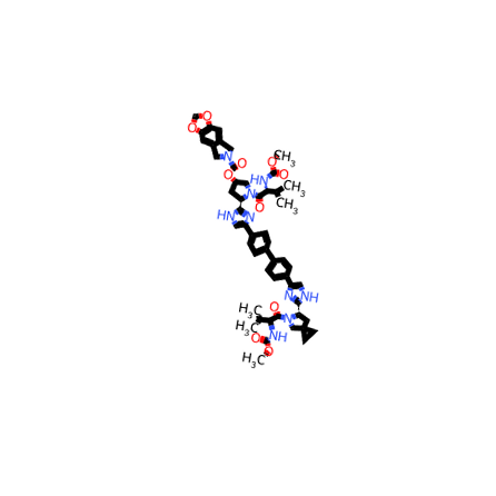 COC(=O)NC(C(=O)N1CC2(CC2)C[C@H]1c1nc(-c2ccc(-c3ccc(-c4c[nH]c([C@@H]5CC(OC(=O)N6Cc7cc8c(cc7C6)OCO8)CN5C(=O)[C@@H](NC(=O)OC)C(C)C)n4)cc3)cc2)c[nH]1)C(C)C